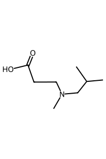 CC(C)CN(C)CCC(=O)O